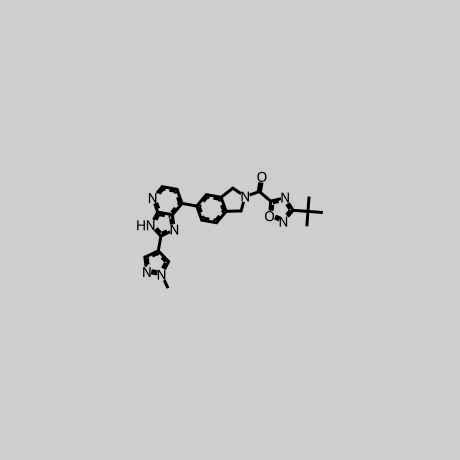 Cn1cc(-c2nc3c(-c4ccc5c(c4)CN(C(=O)c4nc(C(C)(C)C)no4)C5)ccnc3[nH]2)cn1